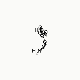 Cn1c(=O)n(C2CCC(=O)NC2=O)c2cccc(CCCOCC(C)(C)COCCCN)c21